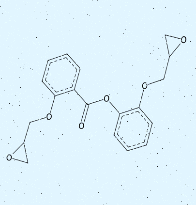 O=C(Oc1ccccc1OCC1CO1)c1ccccc1OCC1CO1